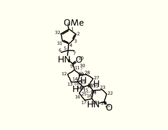 COc1ccc(C(C)(C)NC(=O)C2CC[C@H]3[C@@H]4CCC5NC(=O)CC[C@]5(C)[C@@H]4CC[C@]23C)cc1